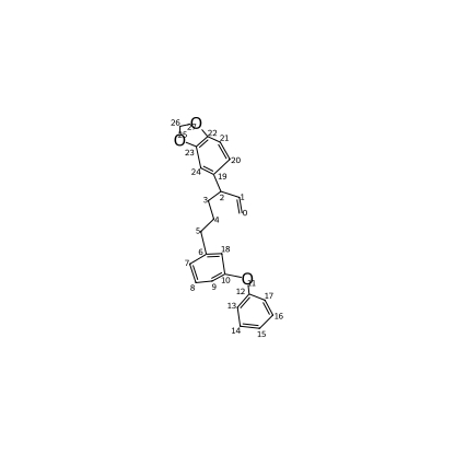 C=CC(CCCc1cccc(Oc2ccccc2)c1)c1ccc2c(c1)OCO2